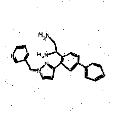 NCC(N)c1ccc(-c2ccccc2)cc1-c1ccn(Cc2cccnc2)n1